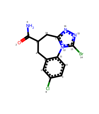 NC(=O)C1Cc2cc(Cl)ccc2-n2c(Br)nnc2C1